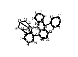 c1ccc(-c2c3ccccc3c(C3C4CC5CC(C4)CC3C5)c3c(-c4ccccc4)cccc23)cc1